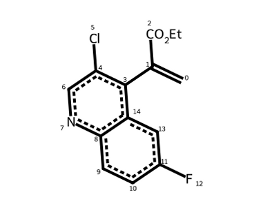 C=C(C(=O)OCC)c1c(Cl)cnc2ccc(F)cc12